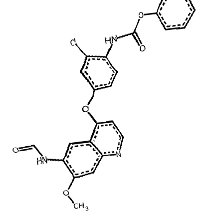 COc1cc2nccc(Oc3ccc(NC(=O)Oc4ccccc4)c(Cl)c3)c2cc1NC=O